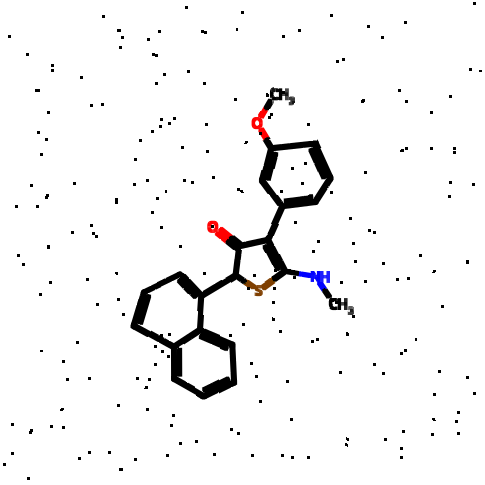 CNC1=C(c2cccc(OC)c2)C(=O)C(c2cccc3ccccc23)S1